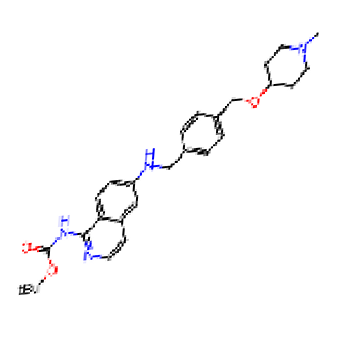 CN1CCC(OCc2ccc(CNc3ccc4c(NC(=O)OC(C)(C)C)nccc4c3)cc2)CC1